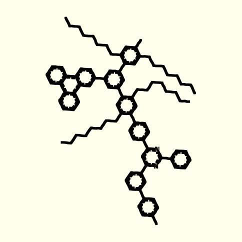 CCCCCCCCc1cc(-c2cc(-c3ccc4c5ccccc5c5ccccc5c4c3)cc(-c3cc(CCCCCCCC)c(-c4ccc(-c5cc(-c6cccc(-c7ccc(C)cc7)c6)nc(-c6ccccc6)n5)cc4)cc3CCCCCCCC)c2)c(CCCCCCCC)cc1C